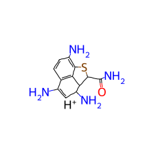 NC(=O)C1Sc2c(N)ccc3c2C1C(N)C=C3N.[H+]